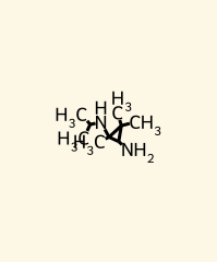 CC(C)NC1(C)C(N)C1(C)C